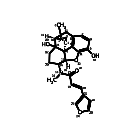 CN1CC[C@]23c4c5ccc(O)c4O[C@H]2[C@@H](N(C)C(=O)/C=C/c2ccoc2)CCC3(O)[C@H]1C5